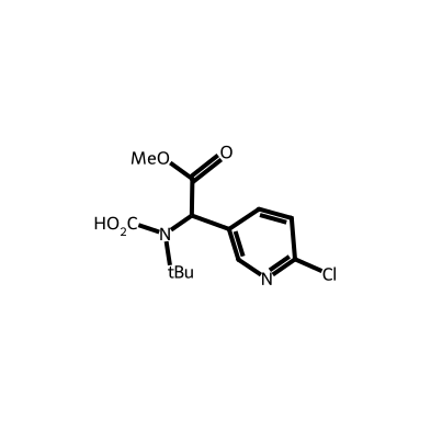 COC(=O)C(c1ccc(Cl)nc1)N(C(=O)O)C(C)(C)C